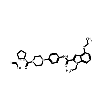 CCOc1cccc2c1cc(C(=O)Nc1ccc(N3CCN(C(=O)[C@@H]4CCC[C@H]4C(=O)O)CC3)cc1)n2CC